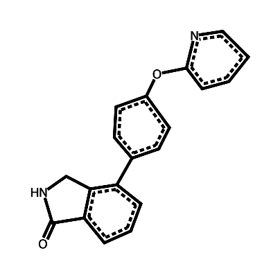 O=C1NCc2c1cccc2-c1ccc(Oc2ccccn2)cc1